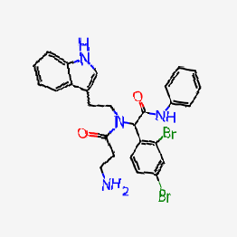 NCCC(=O)N(CCc1c[nH]c2ccccc12)C(C(=O)Nc1ccccc1)c1ccc(Br)cc1Br